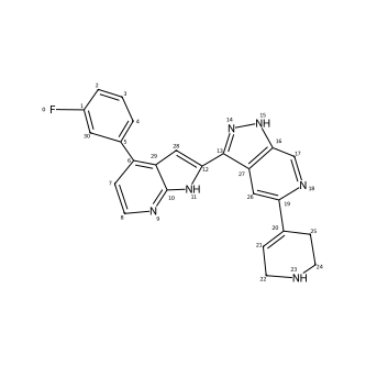 Fc1cccc(-c2ccnc3[nH]c(-c4n[nH]c5cnc(C6=CCNCC6)cc45)cc23)c1